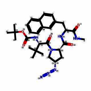 CNC(=O)[C@H](Cc1ccc2ccccc2c1)NC(=O)[C@@H]1C[C@H](N=[N+]=[N-])CN1C(=O)[C@@H](NC(=O)OC(C)(C)C)C(C)(C)C